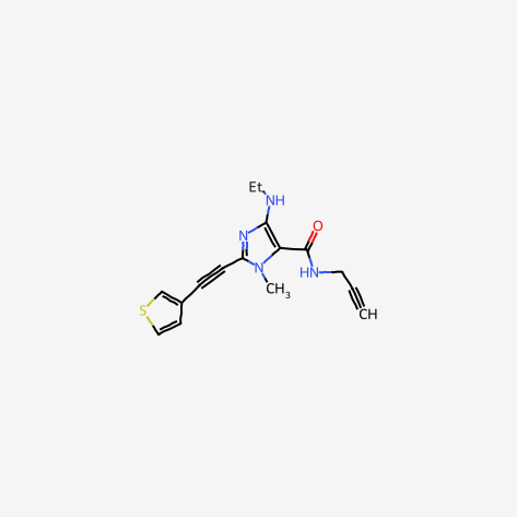 C#CCNC(=O)c1c(NCC)nc(C#Cc2ccsc2)n1C